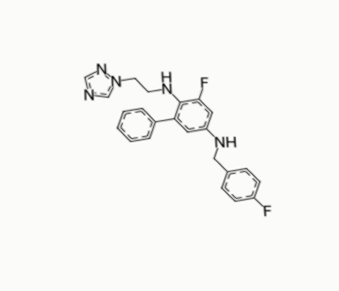 Fc1ccc(CNc2cc(F)c(NCCn3cncn3)c(-c3ccccc3)c2)cc1